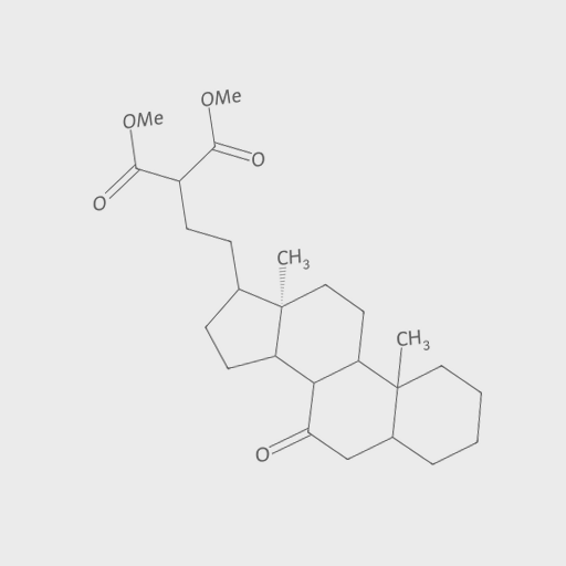 COC(=O)C(CCC1CCC2C3C(=O)CC4CCCCC4(C)C3CC[C@]12C)C(=O)OC